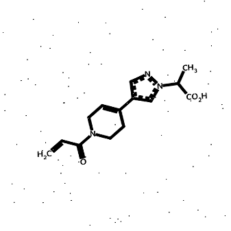 C=CC(=O)N1CC=C(c2cnn(C(C)C(=O)O)c2)CC1